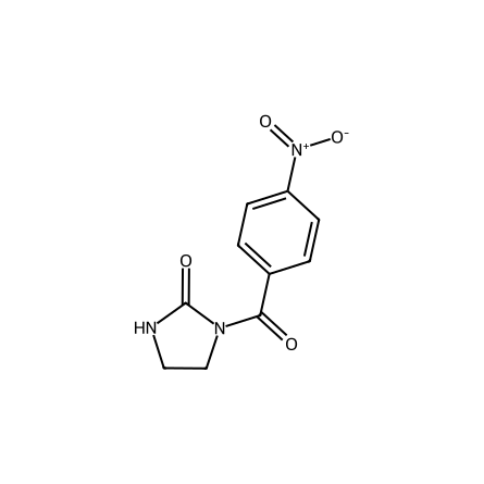 O=C1NCCN1C(=O)c1ccc([N+](=O)[O-])cc1